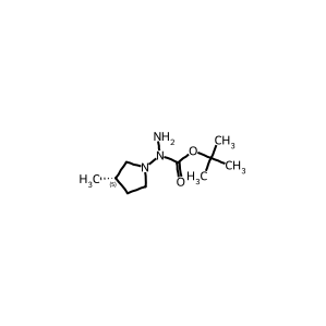 C[C@H]1CCN(N(N)C(=O)OC(C)(C)C)C1